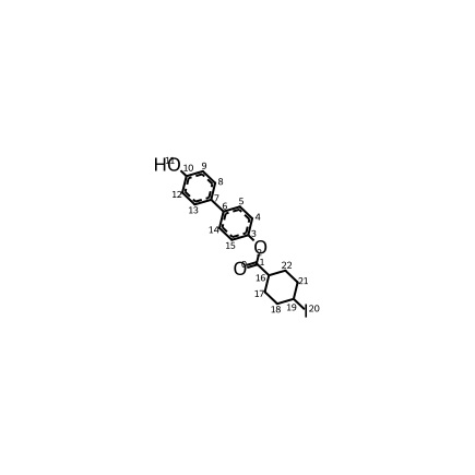 O=C(Oc1ccc(-c2ccc(O)cc2)cc1)C1CCC(I)CC1